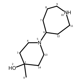 CC1(O)CCN(C2CCCNCC2)CC1